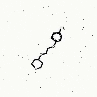 Cc1ccc(OCCOC2CCOCC2)cc1